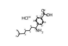 CC(C)CCCCC(N)c1ccc(C(=O)O)cc1.Cl